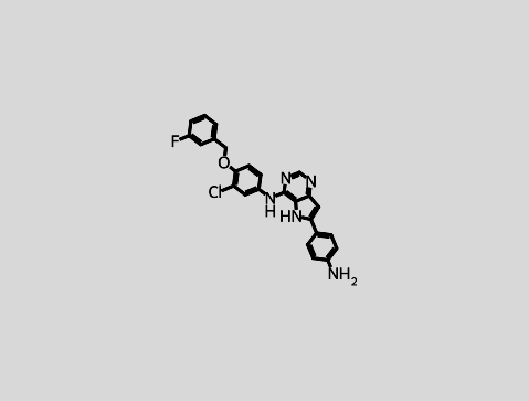 Nc1ccc(-c2cc3ncnc(Nc4ccc(OCc5cccc(F)c5)c(Cl)c4)c3[nH]2)cc1